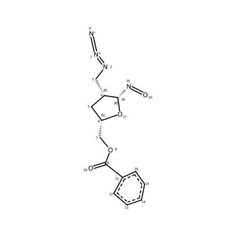 [N-]=[N+]=NC[C@H]1C[C@@H](COC(=O)c2ccccc2)O[C@H]1N=O